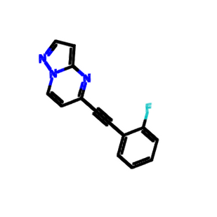 Fc1ccccc1C#Cc1ccn2nccc2n1